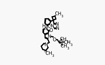 CC1CC(c2cccc(-n3ccc4cc(CN5CCC[C@H](C)C5)n(COCC[Si](C)(C)C)c4c3=O)c2)(c2nncn2C)C1